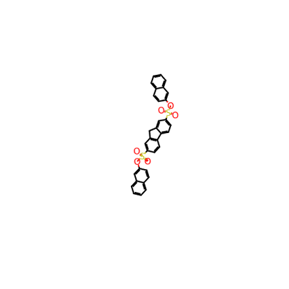 O=S(=O)(Oc1ccc2ccccc2c1)c1ccc2c(c1)Cc1cc(S(=O)(=O)Oc3ccc4ccccc4c3)ccc1-2